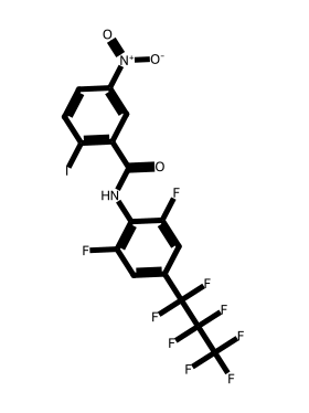 O=C(Nc1c(F)cc(C(F)(F)C(F)(F)C(F)(F)F)cc1F)c1cc([N+](=O)[O-])ccc1I